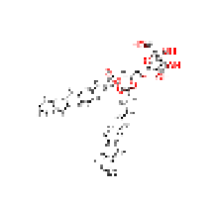 CC/C=C\C/C=C\C/C=C\C/C=C\C/C=C\CC(=O)OC[C@H](CO[C@@H]1O[C@H](CO)[C@H](O)C(O)C1O)OC(=O)CCCC/C=C\C/C=C\C/C=C\C/C=C\CC